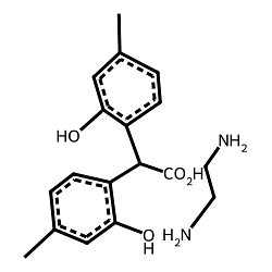 Cc1ccc(C(C(=O)O)c2ccc(C)cc2O)c(O)c1.NCCN